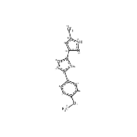 FC(F)(F)Oc1ccc(-c2noc(-c3cc(C(F)(F)F)[nH]n3)n2)cc1